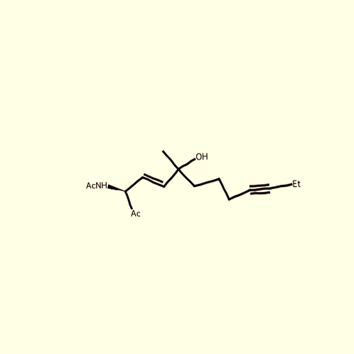 CCC#CCCCC(C)(O)/C=C/[C@H](NC(C)=O)C(C)=O